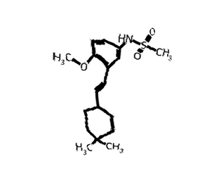 COc1ccc(NS(C)(=O)=O)cc1C=CC1CCC(C)(C)CC1